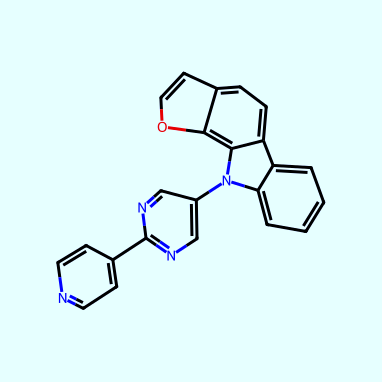 c1ccc2c(c1)c1ccc3ccoc3c1n2-c1cnc(-c2ccncc2)nc1